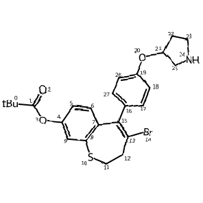 CC(C)(C)C(=O)Oc1ccc2c(c1)SCCC(Br)=C2c1ccc(OC2CCNC2)cc1